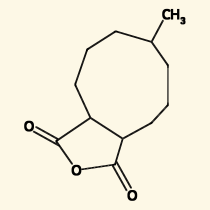 CC1CCCC2C(=O)OC(=O)C2CCC1